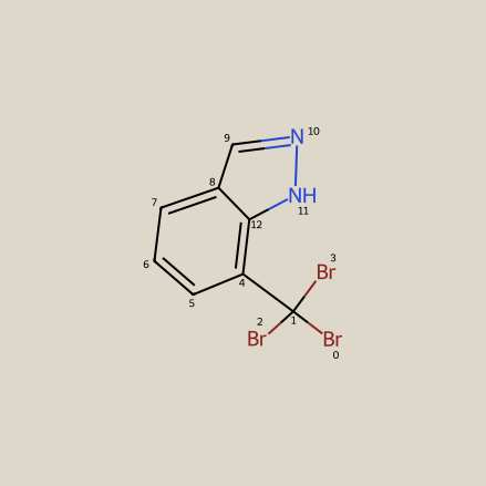 BrC(Br)(Br)c1cccc2cn[nH]c12